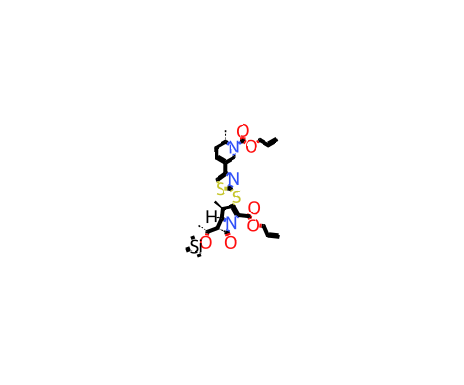 C=CCOC(=O)C1=C(Sc2nc(C3=CC[C@H](C)N(C(=O)OCC=C)C3)cs2)[C@H](C)[C@@H]2[C@@H]([C@@H](C)O[Si](C)(C)C)C(=O)N12